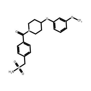 NS(=O)(=O)Cc1ccc(C(=O)N2CCC(Oc3cccc(OC(F)(F)F)c3)CC2)cc1